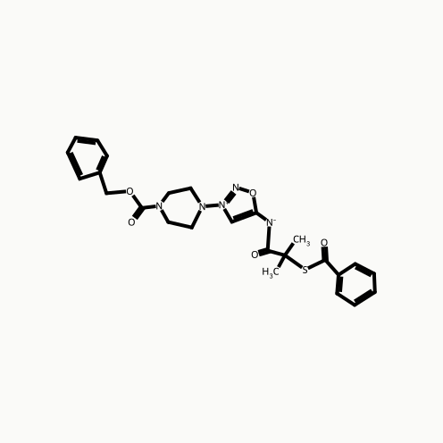 CC(C)(SC(=O)c1ccccc1)C(=O)[N-]c1c[n+](N2CCN(C(=O)OCc3ccccc3)CC2)no1